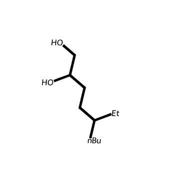 CCCCC(CC)CCC(O)CO